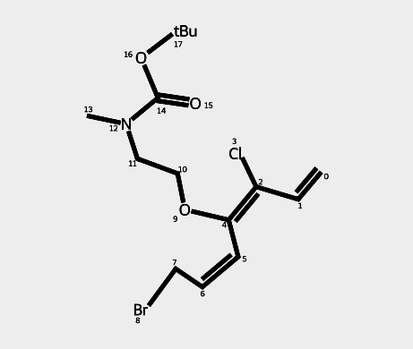 C=C/C(Cl)=C(\C=C/CBr)OCCN(C)C(=O)OC(C)(C)C